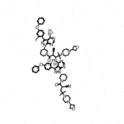 C#CC(C(=O)N1CCC[C@@H](n2nc(-c3ccc(Oc4ccccc4)cc3F)c3c(N)ncnc32)C1)C(Nc1ncnc2c1c(-c1ccc(Oc3ccccc3)cc1F)nn2[C@@H]1CCCN(C(=O)C(C#N)CC(C)(C)N2CCN(C3COC3)CC2)C1)C(C)(C)N1CCN(C2COC2)CC1